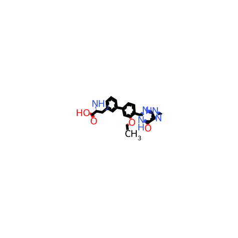 CCOc1cc(-c2cccc(C[C@@H](N)C(=O)O)c2)ccc1-c1nc2[nH]cnc2c(=O)[nH]1